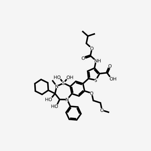 COCCOc1cc2c(cc1-c1cc(NC(=O)OCC(C)C)c(C(=O)O)s1)S(O)(O)N(C)C(O)(C1CCCCC1)C(O)N2c1ccccc1